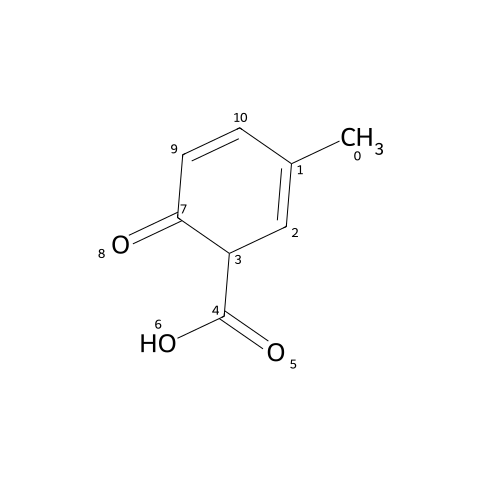 CC1=CC(C(=O)O)C(=O)C=C1